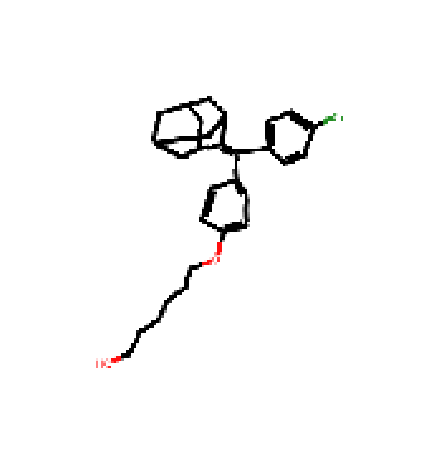 OCCCCCCOc1ccc(C(=C2C3CC4CC(C3)CC2C4)c2ccc(Cl)cc2)cc1